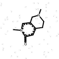 CN1CCc2cc(=O)n(C)cc2C1